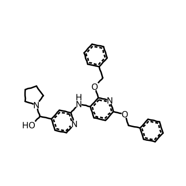 OC(c1ccnc(Nc2ccc(OCc3ccccc3)nc2OCc2ccccc2)c1)N1CCCC1